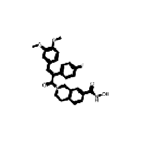 COc1ccc(C=C(C(=O)N2CCc3ccc(C(=O)NO)cc3C2)c2ccc(F)cc2)cc1OC